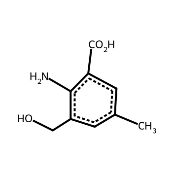 Cc1cc(CO)c(N)c(C(=O)O)c1